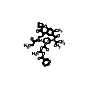 CCC(=O)NCCN1C(=O)C2(CCC2)Oc2cc(C)c(C(=O)N(C(C)C)[C@@H]3CCCN(C(=O)OC(C)OC(=O)c4cccnc4)C3)cc21